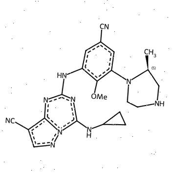 COc1c(Nc2nc(NC3CC3)n3ncc(C#N)c3n2)cc(C#N)cc1N1CCNC[C@@H]1C